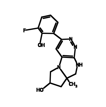 CC12CNc3nnc(-c4cccc(F)c4O)cc3N1CC(O)C2